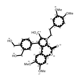 COc1ccc(CCn2c(C(=O)O)c(-c3ccc(CO)c(CO)c3)c3c4cc(OC)c(OC)cc4oc(=O)c32)cc1OC